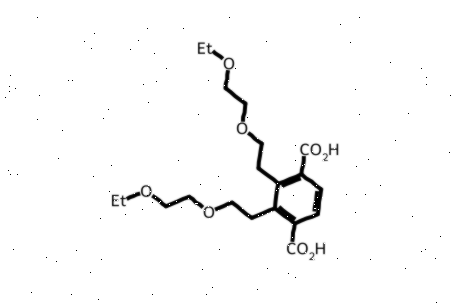 CCOCCOCCc1c(C(=O)O)ccc(C(=O)O)c1CCOCCOCC